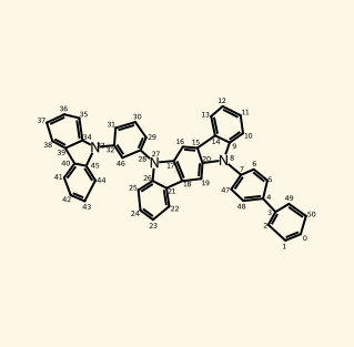 c1ccc(-c2ccc(-n3c4ccccc4c4cc5c(cc43)c3ccccc3n5-c3cccc(-n4c5ccccc5c5ccccc54)c3)cc2)cc1